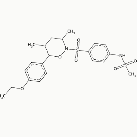 CCOc1ccc(C2ON(S(=O)(=O)c3ccc(NS(C)(=O)=O)cc3)C(C)CC2C)cc1